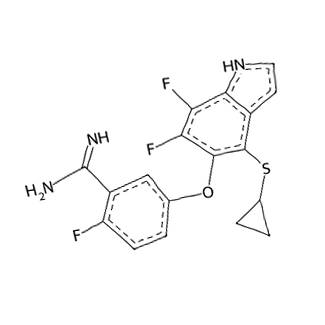 N=C(N)c1cc(Oc2c(F)c(F)c3[nH]ccc3c2SC2CC2)ccc1F